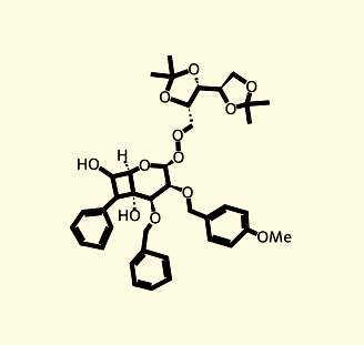 COc1ccc(CO[C@@H]2[C@H](OOC[C@@H]3OC(C)(C)O[C@@H]3[C@H]3COC(C)(C)O3)O[C@@H]3C(O)C(c4ccccc4)[C@]3(O)[C@@H]2OCc2ccccc2)cc1